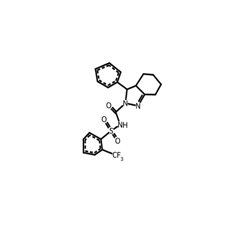 O=C(NS(=O)(=O)c1ccccc1C(F)(F)F)N1N=C2CCCCC2C1c1ccccc1